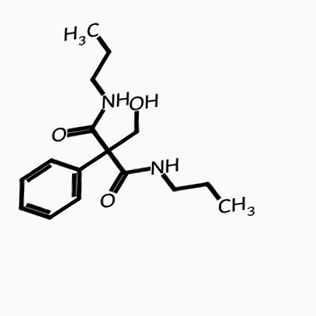 CCCNC(=O)C(CO)(C(=O)NCCC)c1ccccc1